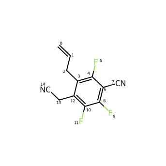 C=CCc1c(F)c(C#N)c(F)c(F)c1CC#N